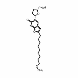 CCCCOCCCCCCCCCc1cc2cn([C@@H]3CC[C@H](CO)O3)c(=O)nc2o1